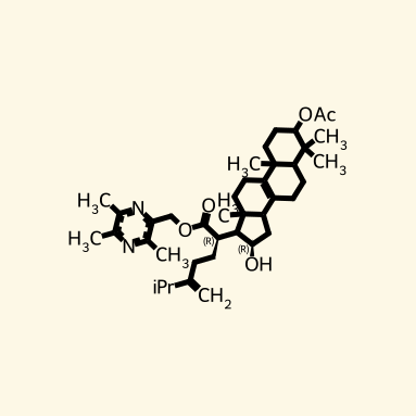 C=C(CC[C@@H](C(=O)OCc1nc(C)c(C)nc1C)C1[C@H](O)CC2C3=C(CCC21C)C1(C)CCC(OC(C)=O)C(C)(C)C1CC3)C(C)C